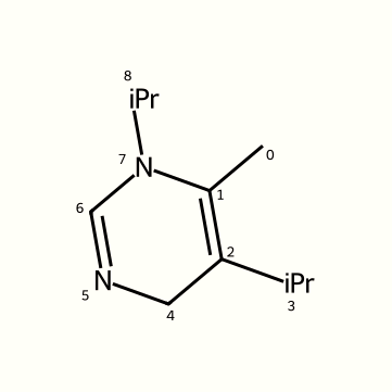 CC1=C(C(C)C)CN=CN1C(C)C